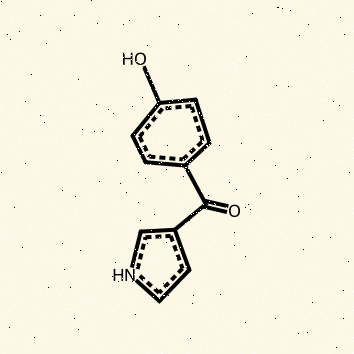 O=C(c1ccc(O)cc1)c1cc[nH]c1